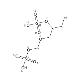 CCC(COCOS(=O)(=O)O)OS(=O)(=O)O